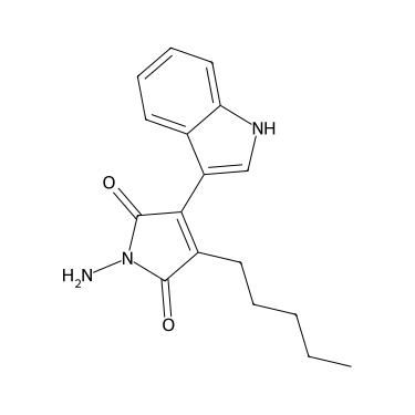 CCCCCC1=C(c2c[nH]c3ccccc23)C(=O)N(N)C1=O